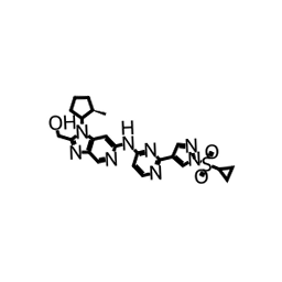 C[C@@H]1CCCC1n1c(CO)nc2cnc(Nc3ccnc(-c4cnn(S(=O)(=O)C5CC5)c4)n3)cc21